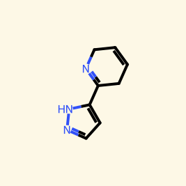 C1=CCC(c2ccn[nH]2)=NC1